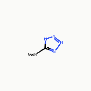 CNC1=NN=N[N]1